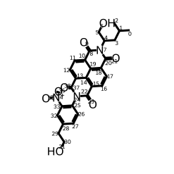 CC(C)CC(CO)N1C(=O)c2ccc3c4c(ccc(c24)C1=O)C(=O)N(c1ccc(CCO)cc1[N+](=O)[O-])C3=O